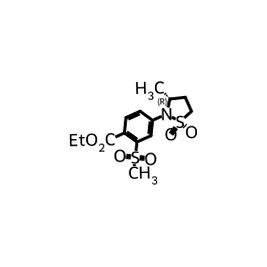 CCOC(=O)c1ccc(N2[C@H](C)CCS2(=O)=O)cc1S(C)(=O)=O